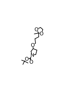 CC(C)(C)OC(=O)N1CCC(OCCCC2(C)OCCO2)C1